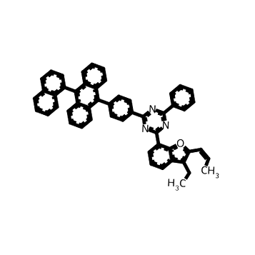 C/C=C\c1oc2c(-c3nc(-c4ccccc4)nc(-c4ccc(-c5c6ccccc6c(-c6cccc7ccccc67)c6ccccc56)cc4)n3)cccc2c1CC